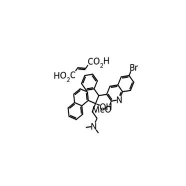 COc1nc2ccc(Br)cc2cc1C(c1ccccc1)[C@](O)(CCN(C)C)c1cccc2ccccc12.O=C(O)/C=C/C(=O)O